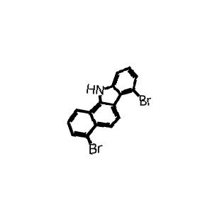 Brc1cccc2c1ccc1c2[nH]c2cccc(Br)c21